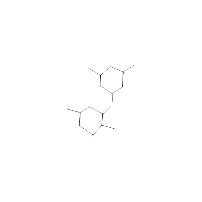 CC1CC(C)CC(BC2CC(C)CCC2C)C1